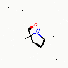 C[C@]1(C=O)CCCN1